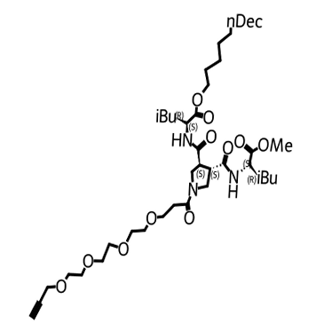 C#CCOCCOCCOCCOCCC(=O)N1C[C@@H](C(=O)N[C@H](C(=O)OC)[C@H](C)CC)[C@H](C(=O)N[C@H](C(=O)OCCCCCCCCCCCCCCC)[C@H](C)CC)C1